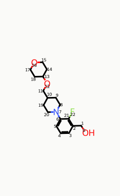 OCc1cccc(N2CCC(COC3CCOCC3)CC2)c1F